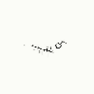 O=C(CCl)c1ccc(OS(=O)(=O)C(F)(F)C(F)(F)C(F)(F)C(F)(F)C(F)(F)C(F)(F)C(F)(F)C(F)(F)F)cc1